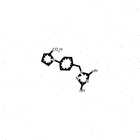 CCCc1nc(CCC)n(Cc2ccc(-n3cccc3C(=O)O)cc2)n1